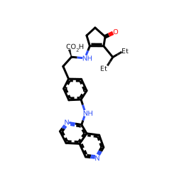 CCC(CC)C1=C(N[C@@H](Cc2ccc(Nc3nccc4cnccc34)cc2)C(=O)O)CCC1=O